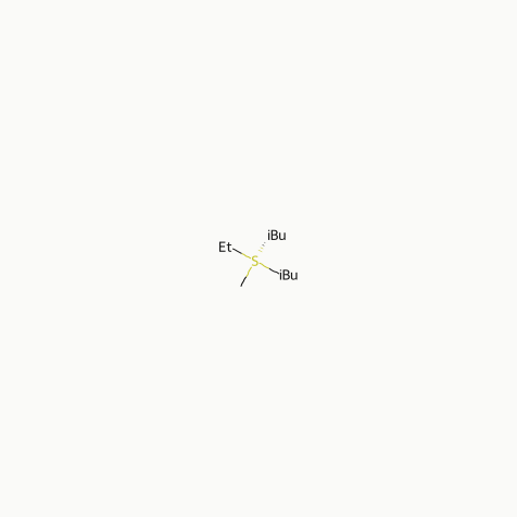 CCC(C)S(C)(CC)[C@@H](C)CC